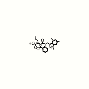 CCC[C@H](C(=O)O)n1c(=O)c2ccccc2n(Cc2nn(C)c3cc(C)cc(C)c23)c1=O